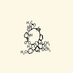 CCn1c(-c2cc(N3CCN(C)CC3)cnc2[C@H](C)OC)c2c3cc(ccc31)-c1csc(n1)C[C@H](NC(C)=O)C(=O)N1CCC[C@H](N1)C(=O)OCC(C)(C)C2